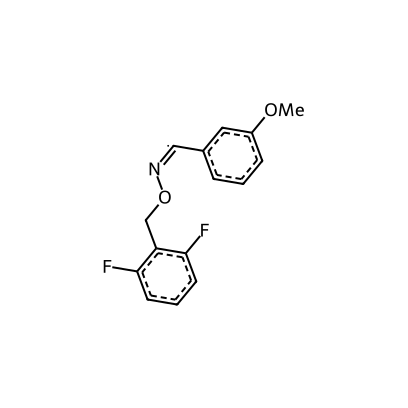 COc1cccc(/[C]=N\OCc2c(F)cccc2F)c1